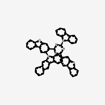 c1ccc2cc3c(cc2c1)c1ccccc1n3-c1cc2c(cc1-c1nc(-c3ccc4c(c3)sc3ccccc34)nc(-n3c4ccccc4c4ccccc43)n1)oc1ccccc12